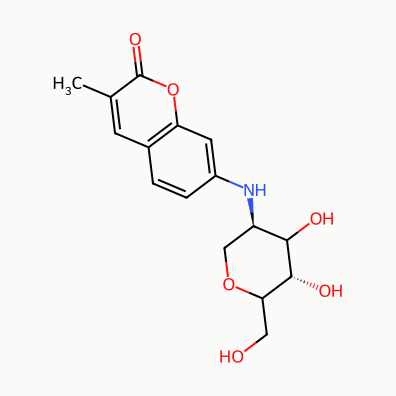 Cc1cc2ccc(N[C@@H]3COC(CO)[C@@H](O)C3O)cc2oc1=O